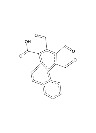 O=Cc1c(C=O)c(C=O)c2c(ccc3ccccc32)c1C(=O)O